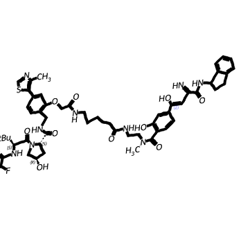 Cc1ncsc1-c1ccc(CNC(=O)[C@@H]2C[C@@H](O)CN2C(=O)[C@@H](NC(=O)C2(F)CC2)C(C)(C)C)c(OCC(=O)NCCCCCC(=O)NCCN(C)C(=O)c2ccc(/C(O)=C/C(=N)C(=O)NC3CCc4ccccc43)cc2O)c1